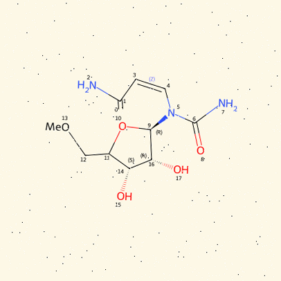 C=C(N)/C=C\N(C(N)=O)[C@@H]1OC(COC)[C@@H](O)[C@H]1O